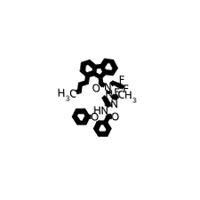 CCCCc1cccc2c1C(C(=O)N(CC(F)(F)F)n1cc(NC(=O)c3ccccc3Oc3ccccc3)nc1C)c1ccccc1-2